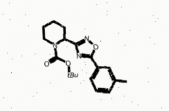 Cc1cccc(-c2nc(C3CCCCN3C(=O)OC(C)(C)C)no2)c1